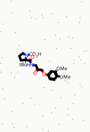 COc1ccc(OCC(=O)CNC(=O)[C@@]2(C(C)(C)C)CCCN2C(=O)O)cc1OC